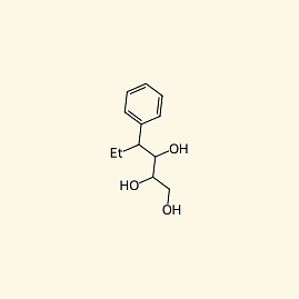 CCC(c1ccccc1)C(O)C(O)CO